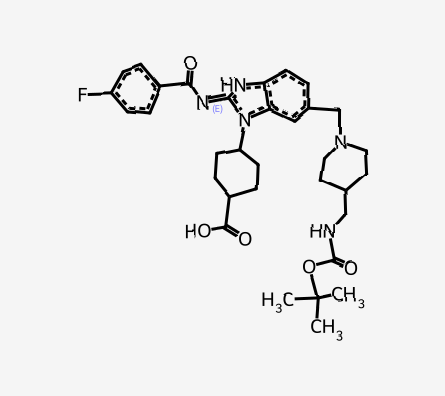 CC(C)(C)OC(=O)NCC1CCN(Cc2ccc3[nH]/c(=N\C(=O)c4ccc(F)cc4)n(C4CCC(C(=O)O)CC4)c3c2)CC1